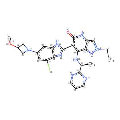 CCn1cc2[nH]c(=O)c(-c3nc4c(F)cc(N5CC(OC)C5)cc4[nH]3)c(N[C@@H](C)c3ncccn3)c2n1